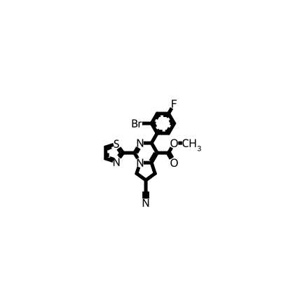 COC(=O)C1=C2CC(C#N)CN2C(c2nccs2)=NC1c1ccc(F)cc1Br